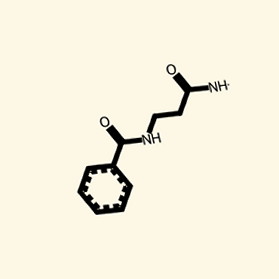 [NH]C(=O)CCNC(=O)c1ccccc1